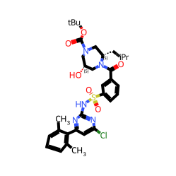 Cc1cccc(C)c1-c1cc(Cl)nc(NS(=O)(=O)c2cccc(C(=O)N3C[C@H](O)CN(C(=O)OC(C)(C)C)C[C@@H]3CC(C)C)c2)n1